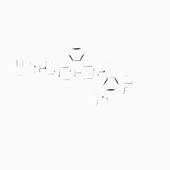 CN(C)C(=O)CN1CCN(C2CCN(C(=O)c3cc(C(F)(F)F)cc(C(F)(F)F)c3)CC2c2ccccc2)CC1